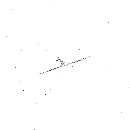 CCCCCCCCC=CCCCCCCCCOCC(COCCCCCCCCC=CCCCCCCCC)OC(=O)CCCN(C(C)C)C(C)C